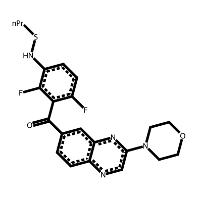 CCCSNc1ccc(F)c(C(=O)c2ccc3ncc(N4CCOCC4)nc3c2)c1F